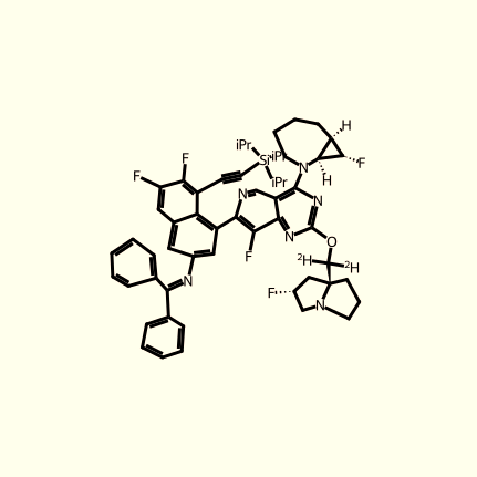 [2H]C([2H])(Oc1nc(N2CCCC[C@H]3[C@H](F)[C@H]32)c2cnc(-c3cc(N=C(c4ccccc4)c4ccccc4)cc4cc(F)c(F)c(C#C[Si](C(C)C)(C(C)C)C(C)C)c34)c(F)c2n1)[C@@]12CCCN1C[C@H](F)C2